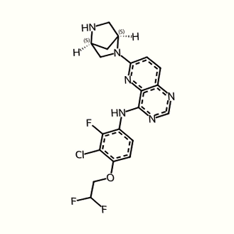 Fc1c(Nc2ncnc3ccc(N4C[C@@H]5C[C@H]4CN5)nc23)ccc(OCC(F)F)c1Cl